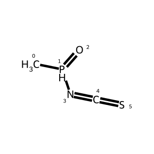 C[PH](=O)N=C=S